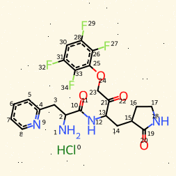 Cl.NC(Cc1ccccn1)C(=O)NC(CC1CCNC1=O)C(=O)COc1c(F)c(F)cc(F)c1F